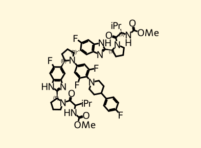 COC(=O)NC(C(=O)N1CCC[C@H]1c1nc2cc([C@H]3CC[C@H](c4cc5nc([C@@H]6CCCN6C(=O)[C@@H](NC(=O)OC)C(C)C)[nH]c5cc4F)N3c3cc(F)c(N4CCC(c5ccc(F)cc5)CC4)c(F)c3)c(F)cc2[nH]1)C(C)C